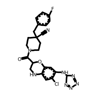 N#CC1(Cc2ccc(F)cc2)CCN(C(=O)C2CNc3cc(Cl)c(NC4N=NN=N4)cc3O2)CC1